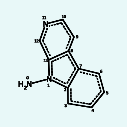 Nn1c2ccccc2c2ccncc21